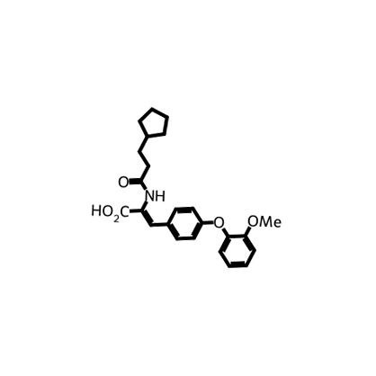 COc1ccccc1Oc1ccc(/C=C(\NC(=O)CCC2CCCC2)C(=O)O)cc1